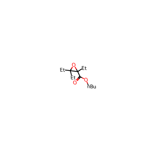 CCCCOC(=O)C1(CC)OC1(CC)CC